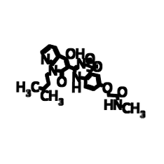 CNC(=O)COc1ccc2c(c1)S(=O)(=O)N=C(c1c(O)c3cccnc3n(CCC(C)C)c1=O)N2